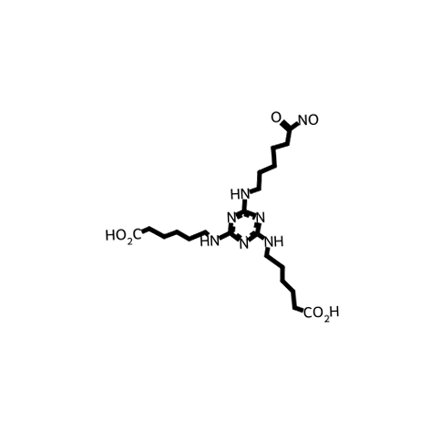 O=NC(=O)CCCCCNc1nc(NCCCCCC(=O)O)nc(NCCCCCC(=O)O)n1